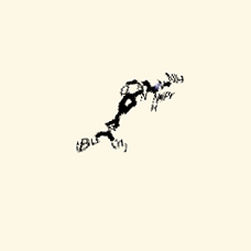 C=C=C(CC(C)(C)C)N1CC(c2ccc3c(c2)OCCN2CC(/C(=N/C=N)NC(C)C)N=C32)C1